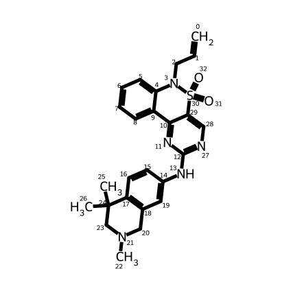 C=CCN1c2ccccc2-c2nc(Nc3ccc4c(c3)CN(C)CC4(C)C)ncc2S1(=O)=O